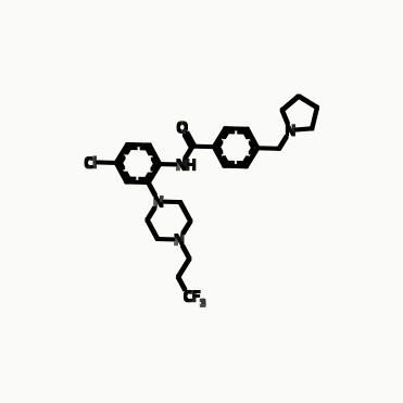 O=C(Nc1ccc(Cl)cc1N1CCN(CCC(F)(F)F)CC1)c1ccc(CN2CCCC2)cc1